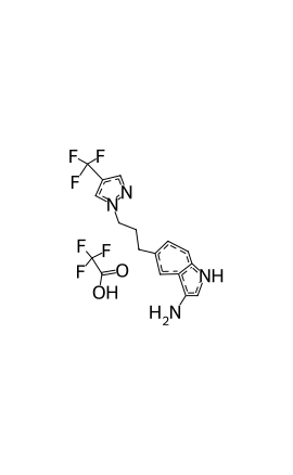 Nc1c[nH]c2ccc(CCCn3cc(C(F)(F)F)cn3)cc12.O=C(O)C(F)(F)F